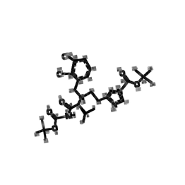 CC(C)[C@@H](C(=O)NC(=O)OC(C)(C)C)N(CCc1cn(C(=O)OC(C)(C)C)cn1)Cc1cccc(Cl)c1Cl